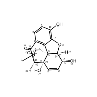 C[N+]1([O-])CC[C@]23c4c5ccc(O)c4O[C@H]2[C@@H](O)C=C[C@@]3(O)[C@H]1C5=O